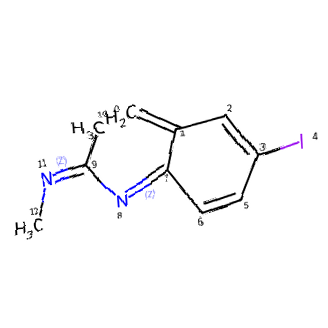 C=C1C=C(I)C=C/C1=N/C(C)=N\C